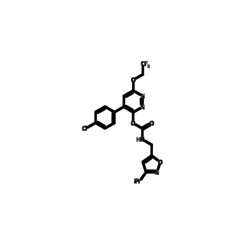 CC(C)c1cc(CNC(=O)Oc2nnc(OCC(F)(F)F)cc2-c2ccc(Cl)cc2)on1